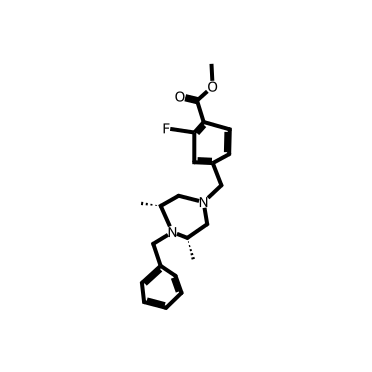 COC(=O)c1ccc(CN2C[C@@H](C)N(Cc3ccccc3)[C@@H](C)C2)cc1F